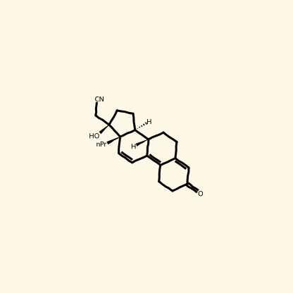 CCC[C@]12C=CC3=C4CCC(=O)C=C4CC[C@H]3[C@@H]1CC[C@@]2(O)CC#N